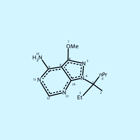 CCCC(C)(CC)n1nc(OC)c2c(N)ncnc21